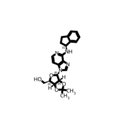 CC1(C)O[C@@H]2[C@H](O1)[C@@H](CO)O[C@H]2n1cnc2c(N[C@H]3CCc4ccccc43)nccc21